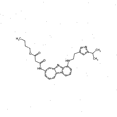 CCCCOC(=O)CC(=O)Nc1cccc2c3cccc(NCCc4cnn(C(C)C)c4)c3nc-2c1